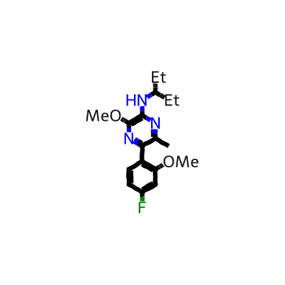 CCC(CC)Nc1nc(C)c(-c2ccc(F)cc2OC)nc1OC